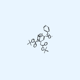 CC(C)(C)OC(=O)CC(/C=C(\Cl)[S+]([O-])c1ccccc1)NC(=O)OC(C)(C)C